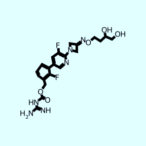 N=C(N)NC(=O)OCc1cccc(-c2cnc(N3CC(=NOCCC(O)CO)C3)c(F)c2)c1F